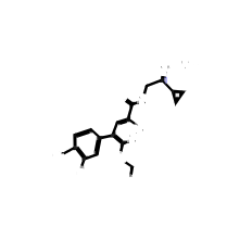 CO/N=C(/CNC(=O)c1cc(-c2ccc(Cl)c(Cl)c2)c(OCC(F)(F)F)nn1)C1CC1